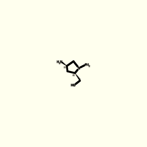 N[C@H]1C[C@@H](CO)N(P)C1